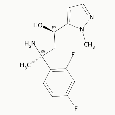 Cn1nccc1[C@H](O)C[C@](C)(N)c1ccc(F)cc1F